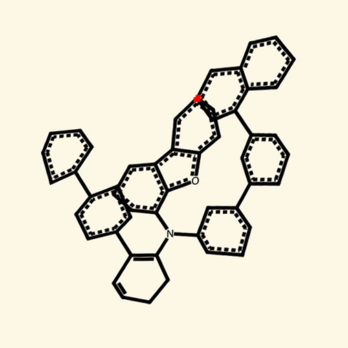 C1=CC(c2ccc(-c3ccccc3)cc2)=C(N(c2cccc(-c3cccc(-c4cccc5ccccc45)c3)c2)c2cccc3c2oc2ccccc23)CC1